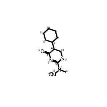 CN(C1=NC(=O)C(C2CCCCC2)CS1)C(C)(C)C